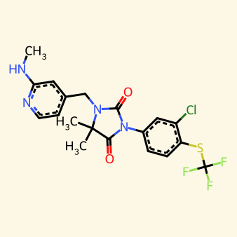 CNc1cc(CN2C(=O)N(c3ccc(SC(F)(F)F)c(Cl)c3)C(=O)C2(C)C)ccn1